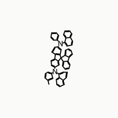 Cc1cccc(N(c2ccc3c(c2)C2(c4ccccc4-c4ccccc42)c2cc(N(c4ccccc4)c4cccc5ccccc45)ccc2-3)c2cccc3ccccc23)c1